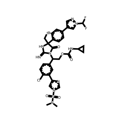 CN(C)S(=O)(=O)n1cnc(-c2cc(C(COC(=O)NC3CC3)N3C(=N)NC(CC(C)(C)C)(c4ccc(-c5cnn(C(F)F)c5)cc4)C3=O)ccc2Cl)c1